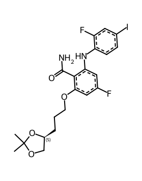 CC1(C)OC[C@H](CCCOc2cc(F)cc(Nc3ccc(I)cc3F)c2C(N)=O)O1